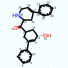 O=C(C1CC(c2ccccc2)=C[C@@H](O)C1)C1CC(c2ccccc2)=CCN1